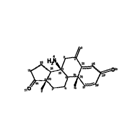 C=C1C[C@]2(N)C(CC[C@]3(C)C(=O)CCC23)[C@@]2(C)C=CC(=O)C=C12